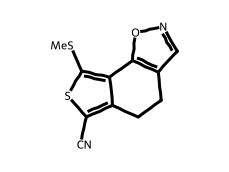 CSc1sc(C#N)c2c1-c1oncc1CC2